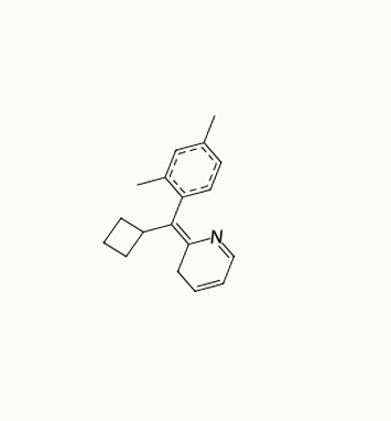 Cc1ccc(/C(=C2/CC=CC=N2)C2CCC2)c(C)c1